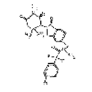 BN(Cc1ccc2c(c1)CN(C1C(=O)N(B)C(=O)CC1(B)B)C2=O)C(=O)C(F)(F)c1ccc(Cl)cc1